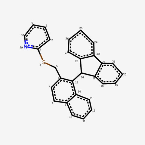 c1ccc(SCc2ccc3ccccc3c2C2c3ccccc3-c3ccccc32)nc1